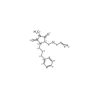 C=CCSCC1C(=O)N(C)C(=O)N1CCCc1ccccc1